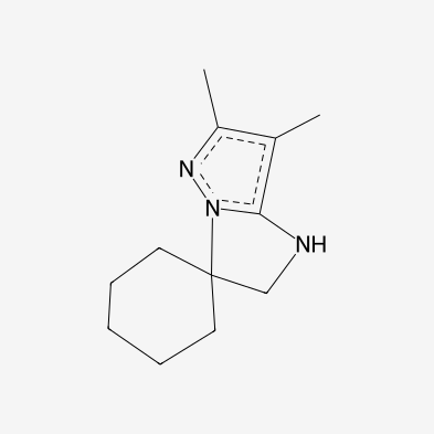 Cc1nn2c(c1C)NCC21CCCCC1